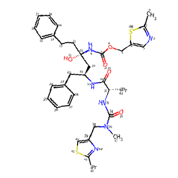 Cc1ncc(COC(=O)N[C@](O)(CCc2ccccc2)C[C@H](Cc2ccccc2)NC(=O)[C@@H](NC(=O)N(C)Cc2csc(C(C)C)n2)C(C)C)s1